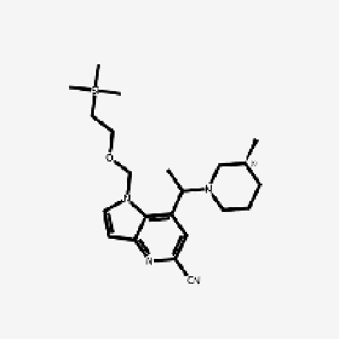 CC(c1cc(C#N)nc2ccn(COCC[Si](C)(C)C)c12)N1CCC[C@H](C)C1